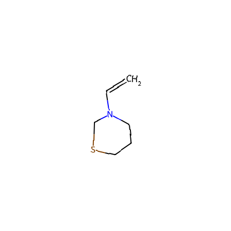 C=CN1CCCSC1